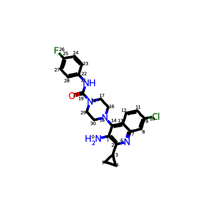 Nc1c(C2CC2)nc2cc(Cl)ccc2c1N1CCN(C(=O)Nc2ccc(F)cc2)CC1